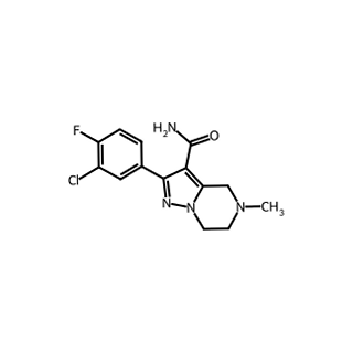 CN1CCn2nc(-c3ccc(F)c(Cl)c3)c(C(N)=O)c2C1